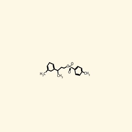 CC1=CCC=C(C(C)CCOS(=O)(=O)c2ccc(C)cc2)C1